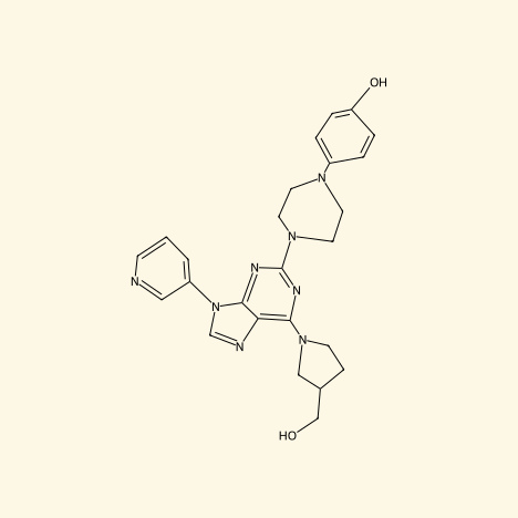 OCC1CCN(c2nc(N3CCN(c4ccc(O)cc4)CC3)nc3c2ncn3-c2cccnc2)C1